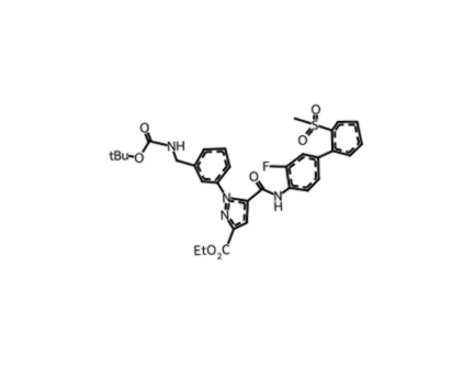 CCOC(=O)c1cc(C(=O)Nc2ccc(-c3ccccc3S(C)(=O)=O)cc2F)n(-c2cccc(CNC(=O)OC(C)(C)C)c2)n1